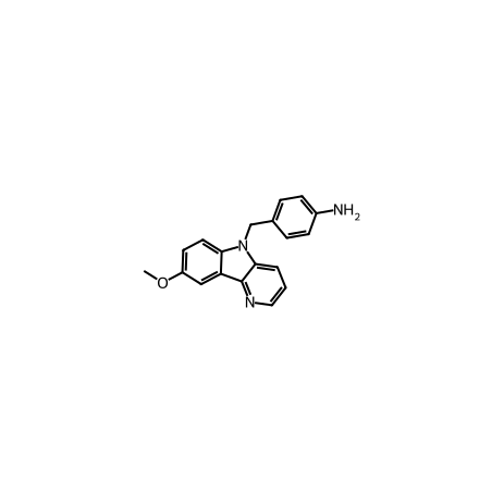 COc1ccc2c(c1)c1ncccc1n2Cc1ccc(N)cc1